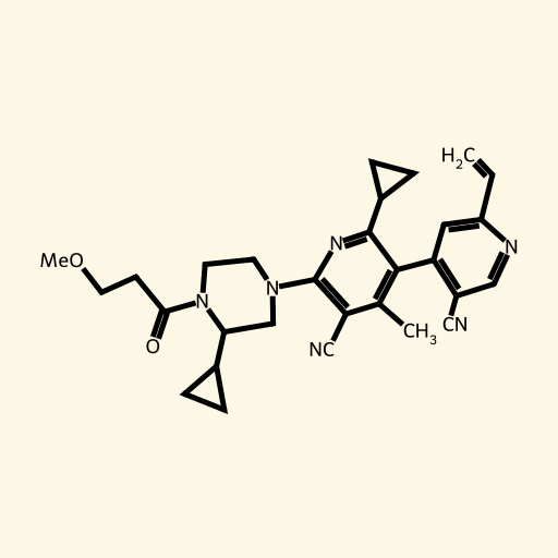 C=Cc1cc(-c2c(C3CC3)nc(N3CCN(C(=O)CCOC)C(C4CC4)C3)c(C#N)c2C)c(C#N)cn1